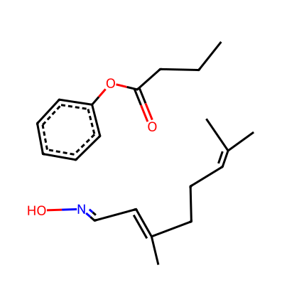 CC(C)=CCCC(C)=CC=NO.CCCC(=O)Oc1ccccc1